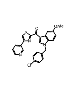 COc1ccc2c(c1)c(C(=O)c1nc(-c3cccnc3)cs1)cn2Cc1ccc(Cl)cc1